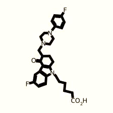 O=C(O)CCCCCn1c2c(c3cc(F)ccc31)C(=O)C(CN1CCN(c3ccc(F)cc3)CC1)CC2